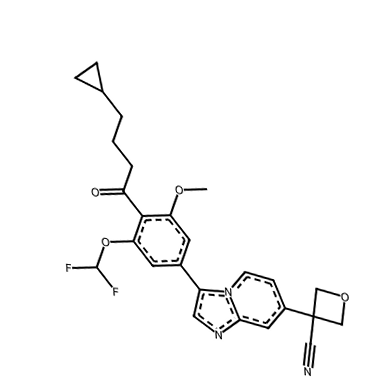 COc1cc(-c2cnc3cc(C4(C#N)COC4)ccn23)cc(OC(F)F)c1C(=O)CCCC1CC1